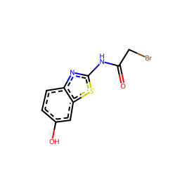 O=C(CBr)Nc1nc2ccc(O)cc2s1